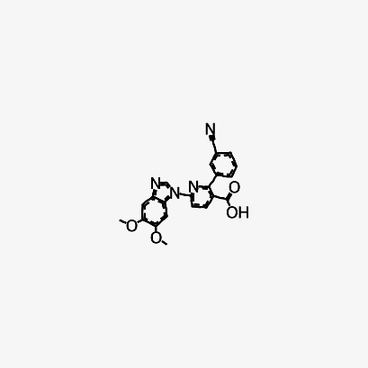 COc1cc2ncn(-c3ccc(C(=O)O)c(-c4cccc(C#N)c4)n3)c2cc1OC